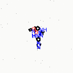 Cc1ccc(Nc2nc(Nc3ccc(N4CCN(C)CC4)cc3)ncc2C)cc1S(=O)(=O)NC1CCC1